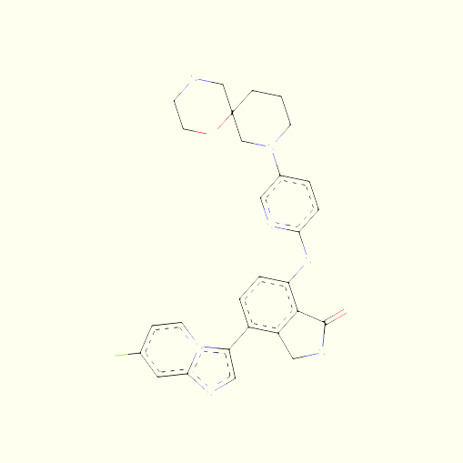 O=C1NCc2c(-c3cnc4cc(F)ccn34)ccc(Nc3ccc(N4CCCC5(CNCCO5)C4)cn3)c21